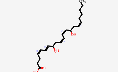 CCCCC/C=C\CC(O)/C=C\C=C/CC(O)/C=C/C=C\CCC(=O)O